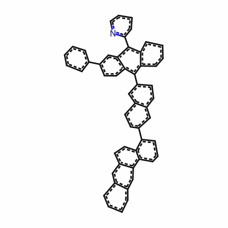 c1ccc(-c2ccc3c(-c4ccc5cc(-c6cccc7c6ccc6cc8ccccc8cc67)ccc5c4)c4ccccc4c(-c4ccccn4)c3c2)cc1